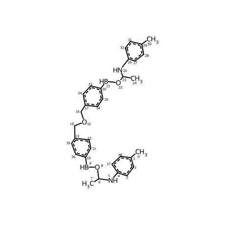 Cc1ccc(NC(C)OBc2ccc(COCc3ccc(BOC(C)Nc4ccc(C)cc4)cc3)cc2)cc1